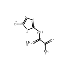 O=C(O)C(=O)Nc1ccc(Cl)s1.[LiH]